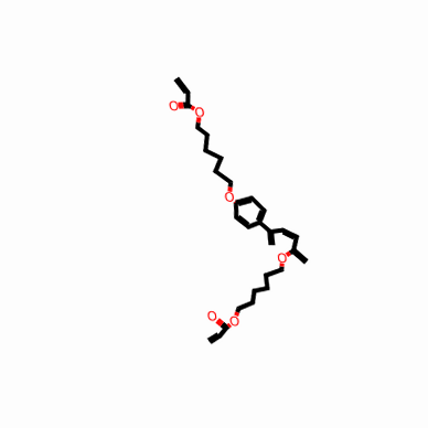 C=CC(=O)OCCCCCCOC(=C)/C=C\C(=C)c1ccc(OCCCCCCOC(=O)C=C)cc1